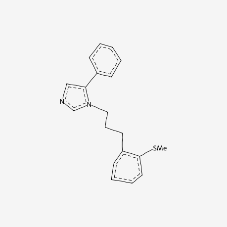 CSc1ccccc1CCCn1cncc1-c1ccccc1